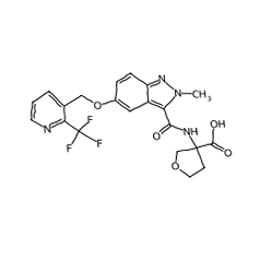 Cn1nc2ccc(OCc3cccnc3C(F)(F)F)cc2c1C(=O)NC1(C(=O)O)CCOC1